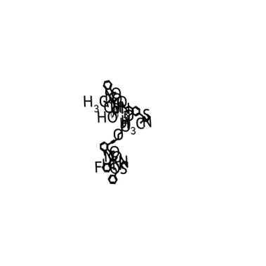 Cc1ncsc1-c1ccc(CNC(=O)[C@@H]2C[C@@H](O)CN2C(=O)C(C(C)C)N2Cc3ccccc3C2=O)c(OCCOCCOCC#Cc2cccc3c2C(=O)N(C(C(=O)Nc2nccs2)c2cc(F)ccc2OCc2ccccc2)C3)c1